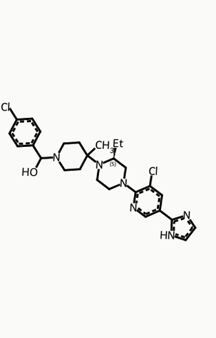 CC[C@H]1CN(c2ncc(-c3ncc[nH]3)cc2Cl)CCN1C1(C)CCN(C(O)c2ccc(Cl)cc2)CC1